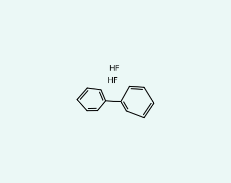 F.F.c1ccc(-c2ccccc2)cc1